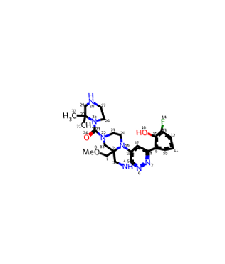 COCC12CNc3nnc(-c4cccc(F)c4O)cc3N1CCN(C(=O)N1CCNCC1(C)C)C2